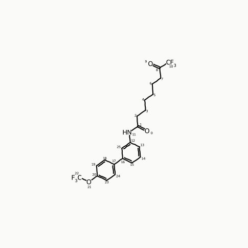 O=C(CCCCCCC(=O)C(F)(F)F)Nc1cccc(-c2ccc(OC(F)(F)F)cc2)c1